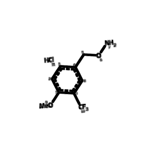 COc1ccc(CON)cc1C(F)(F)F.Cl